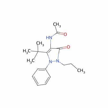 CCCn1c(=O)c(NC(C)=O)c(C(C)(C)C)n1-c1ccccc1